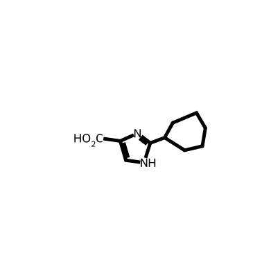 O=C(O)c1c[nH]c(C2CCCCC2)n1